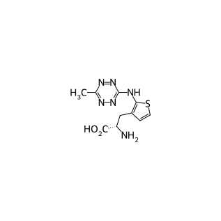 Cc1nnc(Nc2sccc2C[C@H](N)C(=O)O)nn1